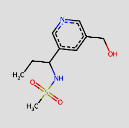 [CH2]CC(NS(C)(=O)=O)c1cncc(CO)c1